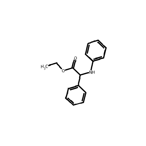 CCOC(=O)C(Nc1ccccc1)c1ccccc1